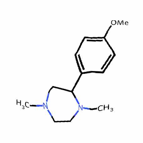 COc1ccc(C2CN(C)CCN2C)cc1